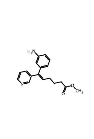 COC(=O)CCCC=C(c1cccnc1)c1cccc(N)c1